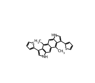 Cc1c2cc3[nH]cc(-c4cccs4)c3c(C)c2cc2[nH]cc(-c3cccs3)c12